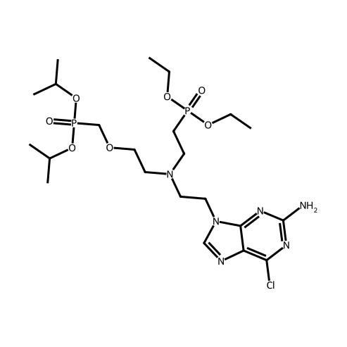 CCOP(=O)(CCN(CCOCP(=O)(OC(C)C)OC(C)C)CCn1cnc2c(Cl)nc(N)nc21)OCC